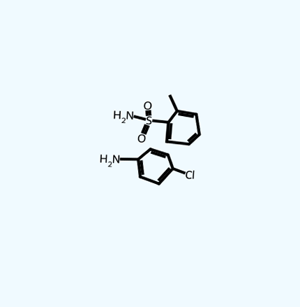 Cc1ccccc1S(N)(=O)=O.Nc1ccc(Cl)cc1